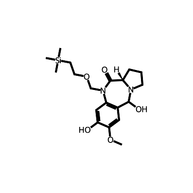 COc1cc2c(cc1O)N(COCC[Si](C)(C)C)C(=O)[C@@H]1CCCN1C2O